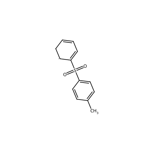 Cc1ccc(S(=O)(=O)C2=CC=CC[CH]2)cc1